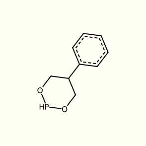 c1ccc(C2COPOC2)cc1